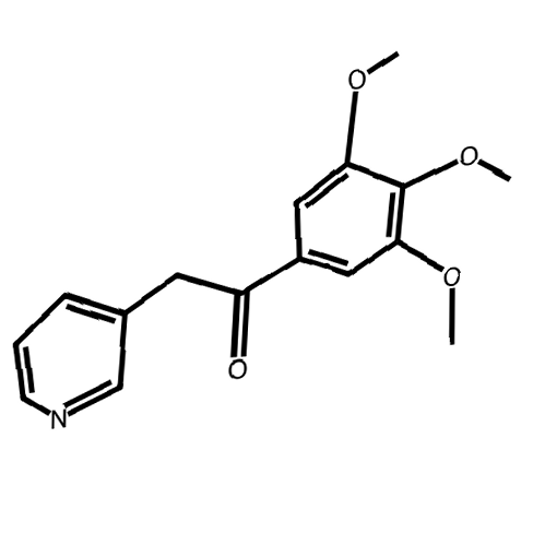 COc1cc(C(=O)Cc2cccnc2)cc(OC)c1OC